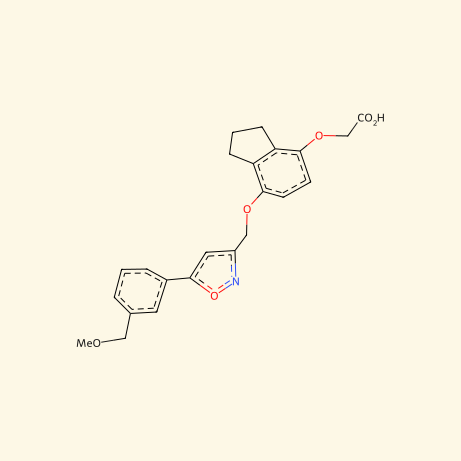 COCc1cccc(-c2cc(COc3ccc(OCC(=O)O)c4c3CCC4)no2)c1